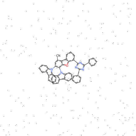 N#Cc1cc(-n2c3ccccc3c3ccccc32)c(-n2c3ccccc3c3ccccc32)c2oc3c(-c4nc(-c5ccccc5)nc(-c5ccccc5)n4)cccc3c12